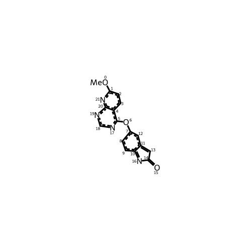 COc1ccc2c(Oc3ccc4c(c3)=CC(=O)N=4)ncnc2n1